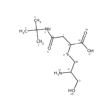 CC(C)(C)NC(=O)CC(SCC(N)CO)C(=O)O